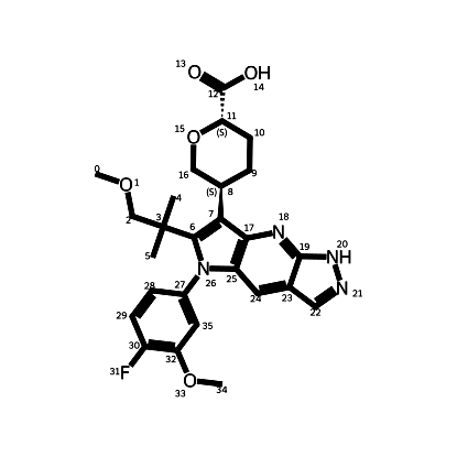 COCC(C)(C)c1c([C@@H]2CC[C@@H](C(=O)O)OC2)c2nc3[nH]ncc3cc2n1-c1ccc(F)c(OC)c1